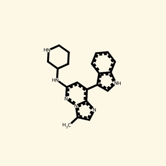 Cc1cnc2c(-c3c[nH]c4ccccc34)cc(NC3CCCNC3)nn12